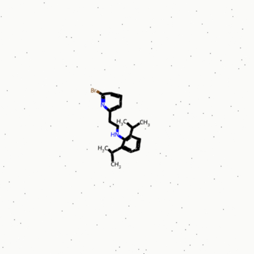 CC(C)c1cccc(C(C)C)c1NCCc1cccc(Br)n1